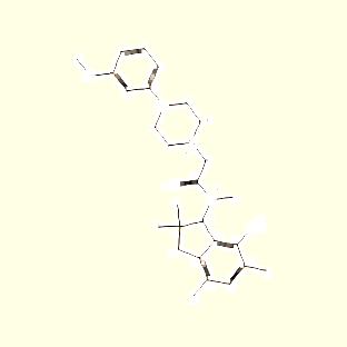 COc1cccc(N2CCN(CC(=O)N(C)C3c4c(O)c(C)cc(C)c4CC3(C)C)CC2)c1